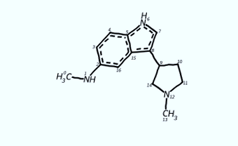 CNc1ccc2[nH]cc(C3CCN(C)C3)c2c1